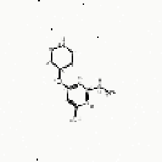 Cc1cc(OC2CCNCC2)nc(NC(C)C)n1